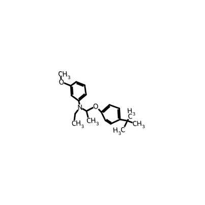 CCN(c1cccc(OC)c1)C(C)Oc1ccc(C(C)(C)C)cc1